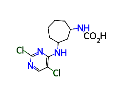 O=C(O)NC1CCCCC(Nc2nc(Cl)ncc2Cl)C1